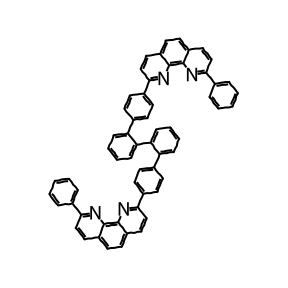 c1ccc(-c2ccc3ccc4ccc(-c5ccc(-c6ccccc6-c6ccccc6-c6ccc(-c7ccc8ccc9ccc(-c%10ccccc%10)nc9c8n7)cc6)cc5)nc4c3n2)cc1